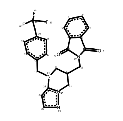 O=C1c2ccccc2C(=O)N1CC1CN(Cc2ccc(C(F)(F)F)cc2)c2ccnn2C1